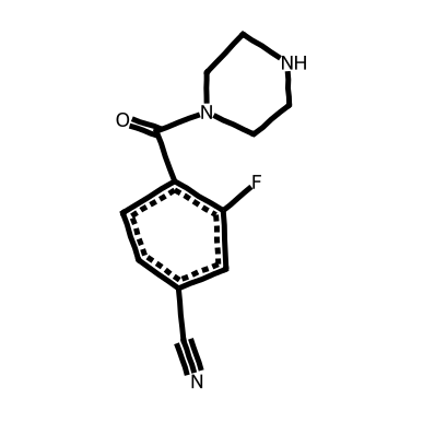 N#Cc1ccc(C(=O)N2CCNCC2)c(F)c1